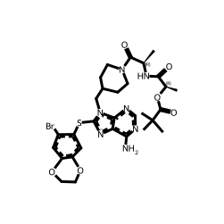 C[C@@H](NC(=O)[C@@H](C)OC(=O)C(C)(C)C)C(=O)N1CCC(Cn2c(Sc3cc4c(cc3Br)OCCO4)nc3c(N)ncnc32)CC1